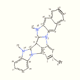 CC(C)c1cc2c3c(c1)N1c4cc5ccccc5cc4N(C)C1C3C1N(C)c3ccccc3N21